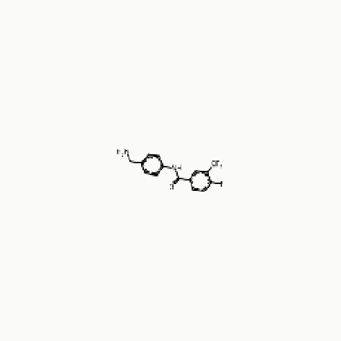 NCc1ccc(NC(=O)c2ccc(F)c(C(F)(F)F)c2)cc1